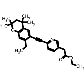 CCOC(=O)Cc1ccc(C#Cc2cc3c(cc2CC)OC(C)(C)CC3(C)C)nc1